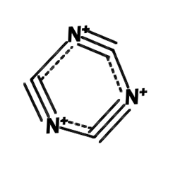 c1[n+]#c[n+]#c[n+]#1